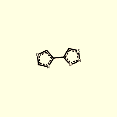 [c]1nc(-c2csnn2)co1